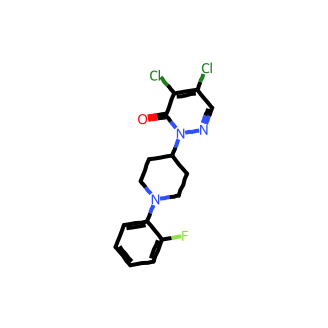 O=c1c(Cl)c(Cl)cnn1C1CCN(c2ccccc2F)CC1